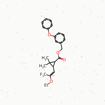 CCO/C(=C/C1C(C(=O)OCc2cccc(Oc3ccccc3)c2)C1(C)C)C(F)(F)F